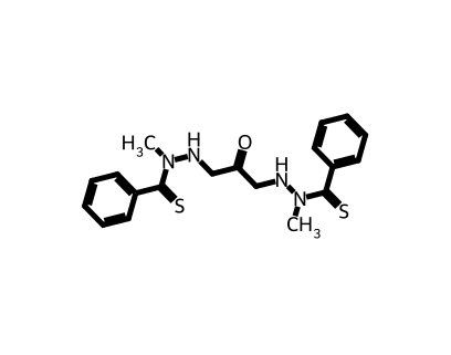 CN(NCC(=O)CNN(C)C(=S)c1ccccc1)C(=S)c1ccccc1